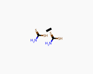 C=C.NC(=S)S.NC(=S)S